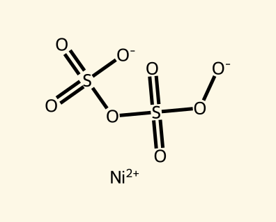 O=S(=O)([O-])OS(=O)(=O)O[O-].[Ni+2]